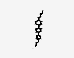 CCCCc1ccc(C2CCC(C3CCC(CC/C=C/F)CC3)CC2)cc1